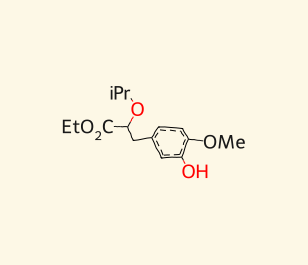 CCOC(=O)C(Cc1ccc(OC)c(O)c1)OC(C)C